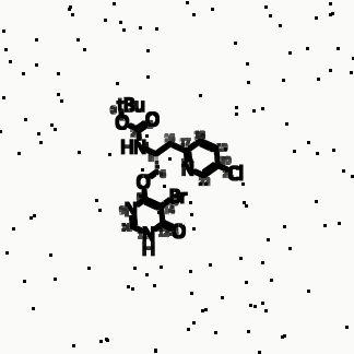 CC(C)(C)OC(=O)N[C@@H](COc1nc[nH]c(=O)c1Br)Cc1ccc(Cl)cn1